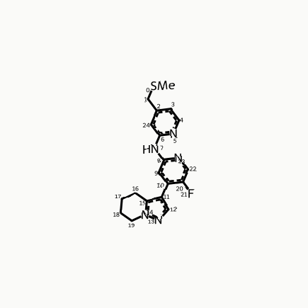 CSCc1ccnc(Nc2cc(-c3cnn4c3CCCC4)c(F)cn2)c1